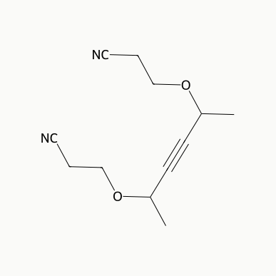 CC(C#CC(C)OCCC#N)OCCC#N